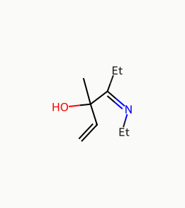 C=CC(C)(O)C(CC)=NCC